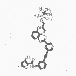 Cc1ccoc1C(=O)Nc1cccc(C#Cc2cncc(C(=O)N=S(CCCO[Si](C)(C)C(C)(C)C)c3ccccc3O)c2)c1